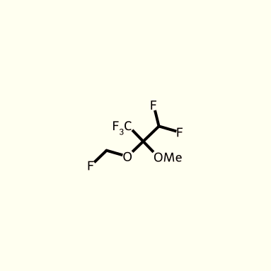 COC(OCF)(C(F)F)C(F)(F)F